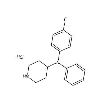 Cl.Fc1ccc(N(c2ccccc2)C2CCNCC2)cc1